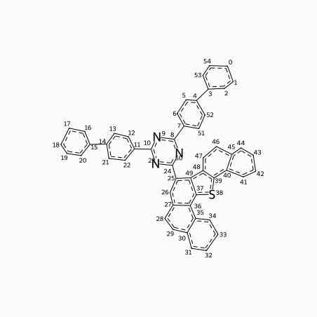 c1ccc(-c2ccc(-c3nc(-c4ccc(-c5ccccc5)cc4)nc(-c4cc5ccc6ccccc6c5c5sc6c7ccccc7ccc6c45)n3)cc2)cc1